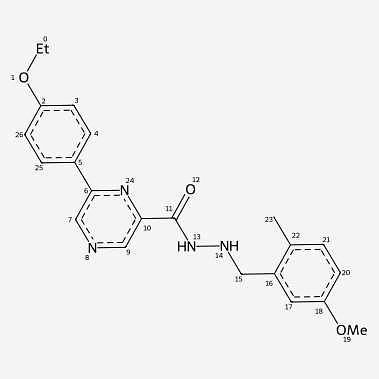 CCOc1ccc(-c2cncc(C(=O)NNCc3cc(OC)ccc3C)n2)cc1